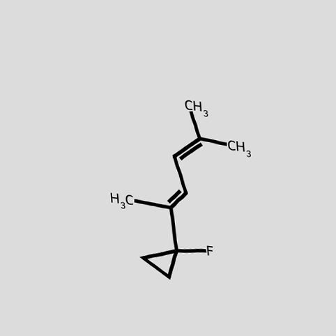 CC(C)=C/C=C(\C)C1(F)CC1